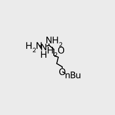 CCCCOCCCCCC(N)NN.O